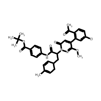 COc1nn(C(CC2C=CC(C)=CC2)C(=O)Nc2ccc(C(=O)OC(C)(C)C)cc2)c(=O)cc1-c1cc(Cl)ccc1C(C)=O